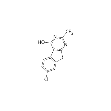 Oc1nc(C(F)(F)F)nc2c1-c1ccc(Cl)cc1C2